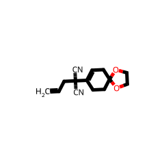 C=CCC(C#N)(C#N)C1=CCC2(CC1)OCCO2